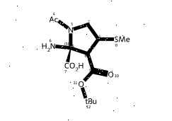 CSC1CN(C(C)=O)[C@](N)(C(=O)O)C1C(=O)OC(C)(C)C